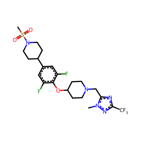 Cn1nc(C(F)(F)F)nc1CN1CCC(Oc2c(F)cc(C3CCN(S(C)(=O)=O)CC3)cc2F)CC1